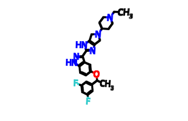 CCN1CCC(N2Cc3nc(-c4n[nH]c5ccc(OC(C)c6cc(F)cc(F)c6)cc45)[nH]c3C2)CC1